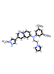 COc1cc(OC)cc(N(CCn2cccc2)c2ccc3ncc(-c4cnn(C)c4)cc3c2)c1